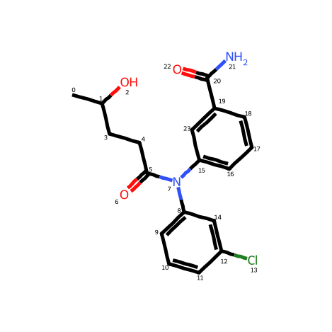 CC(O)CCC(=O)N(c1cccc(Cl)c1)c1cccc(C(N)=O)c1